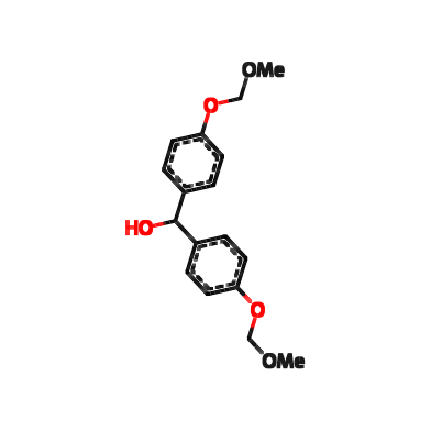 COCOc1ccc(C(O)c2ccc(OCOC)cc2)cc1